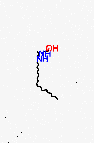 CCCCCCCC/C=C\CCCCCCCCNCC(C)NCCO